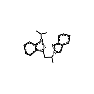 CC(Cc1nn(C(C)C)c2ccccc12)n1cc2ccccc2n1